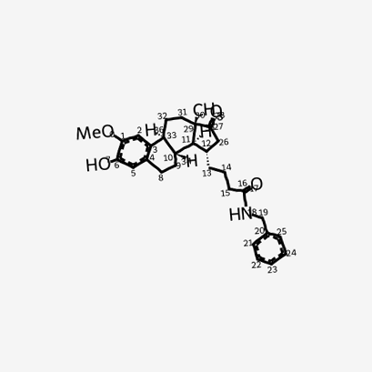 COc1cc2c(cc1O)CC[C@H]1[C@@H]3[C@@H](CCCC(=O)NCc4ccccc4)CC(=O)[C@@]3(C)CC[C@H]21